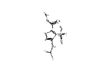 CC(C)OC(=O)c1scc(OC(F)F)c1S(=O)(=O)Cl